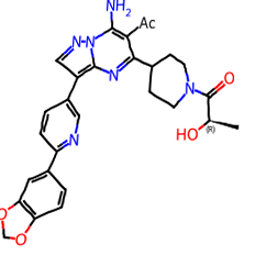 CC(=O)c1c(C2CCN(C(=O)[C@@H](C)O)CC2)nc2c(-c3ccc(-c4ccc5c(c4)OCO5)nc3)cnn2c1N